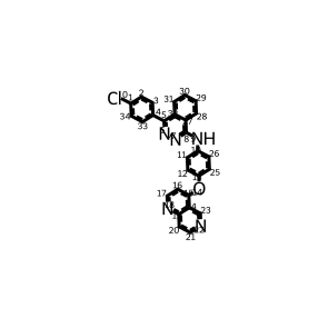 Clc1ccc(-c2nnc(Nc3ccc(Oc4ccnc5ccncc45)cc3)c3ccccc23)cc1